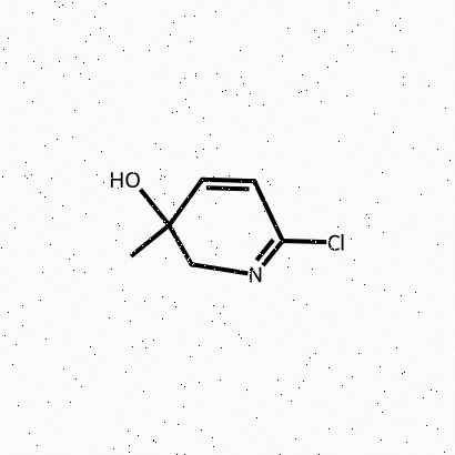 CC1(O)C=CC(Cl)=NC1